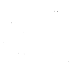 CC(C)(C)OC(=O)NC1CC(OS(C)(=O)=O)C1.CS(=O)(=O)Cl